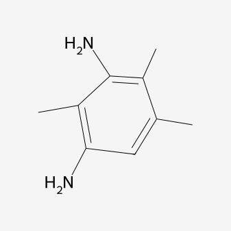 Cc1cc(N)c(C)c(N)c1C